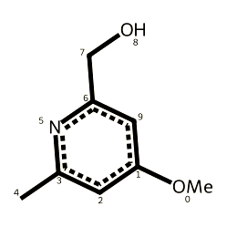 COc1cc(C)nc(CO)c1